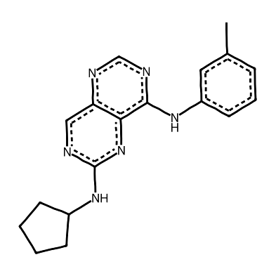 Cc1cccc(Nc2ncnc3cnc(NC4CCCC4)nc23)c1